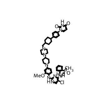 COc1cc(N2CCC(N3CCN(CC4CCC(c5ccc(-n6ccc(=O)[nH]c6=O)cc5)CC4)CC3)CC2)ccc1Nc1ncc(Cl)c(Nc2ccccc2P(C)(C)=O)n1